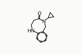 O=C1CCNc2ccccc2CN1C1CC1